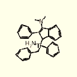 CN(C)C1=C(c2ccccc2)[CH]([Ti]([NH2])([CH2]c2ccccc2)[c]2ccccc2)c2ccccc21